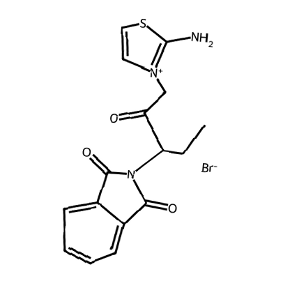 CCC(C(=O)C[n+]1ccsc1N)N1C(=O)c2ccccc2C1=O.[Br-]